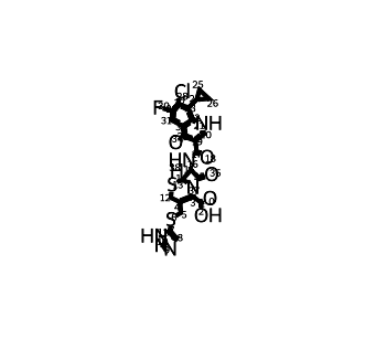 O=C(O)C1=C(CSc2cnn[nH]2)CS[C@H]2C(NC(=O)c3c[nH]c4c(C5CC5)c(Cl)c(F)cc4c3=O)C(=O)N12